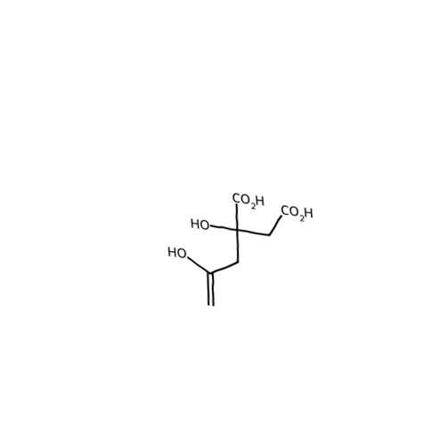 C=C(O)CC(O)(CC(=O)O)C(=O)O